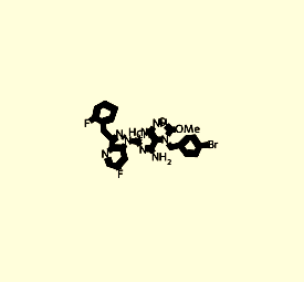 C=C(/N=C(/N)C(=C(N)N)N(Cc1ccc(Br)cc1)C(=O)OC)n1nc(Cc2ccccc2F)c2ncc(F)cc21